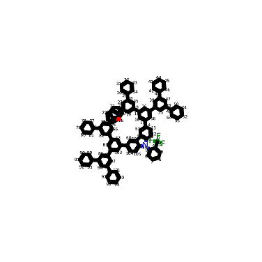 FC(F)(F)c1ccccc1-n1c2ccc(-c3cc(-c4cc(-c5ccccc5)cc(-c5ccccc5)c4)cc(-c4cc(-c5ccccc5)cc(-c5ccccc5)c4)c3)cc2c2cc(-c3cc(-c4cc(-c5ccccc5)cc(-c5ccccc5)c4)cc(-c4cc(-c5ccccc5)cc(-c5ccccc5)c4)c3)ccc21